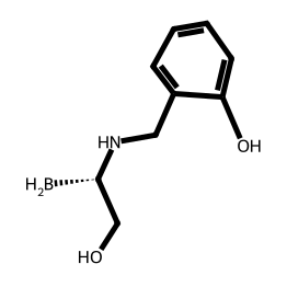 B[C@@H](CO)NCc1ccccc1O